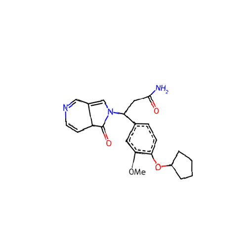 COc1cc(C(CC(N)=O)N2C=C3C=NC=CC3C2=O)ccc1OC1CCCC1